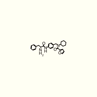 N[C@@H](Cc1ccccc1)C(=O)Nc1ccc(CN(C(=O)c2ccco2)C2CCCCC2)cc1